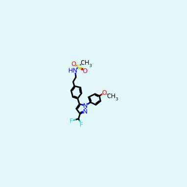 COc1ccc(-n2nc(C(F)F)cc2-c2ccc(CCNS(C)(=O)=O)cc2)cc1